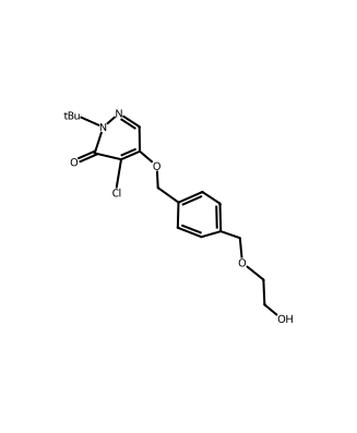 CC(C)(C)n1ncc(OCc2ccc(COCCO)cc2)c(Cl)c1=O